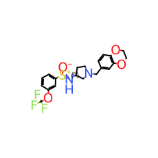 [O-][S+](N[C@@H]1CCN(Cc2ccc3c(c2)OCCO3)C1)c1cccc(OC(F)(F)F)c1